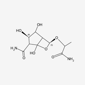 CC(O[C@H]1OC2(O)C1C(O)[C@H](O)C2C(N)=O)C(N)=O